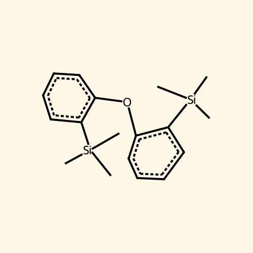 C[Si](C)(C)c1ccccc1Oc1ccccc1[Si](C)(C)C